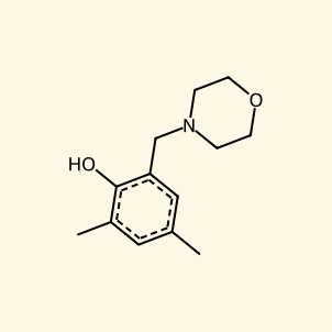 Cc1cc(C)c(O)c(CN2CCOCC2)c1